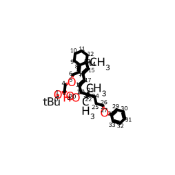 CC(C)(C)OC(=O)COCC=C1CCCC[C@@]1(C)C=CC=C[C@H](O)C(C)(C)CCCOc1ccccc1